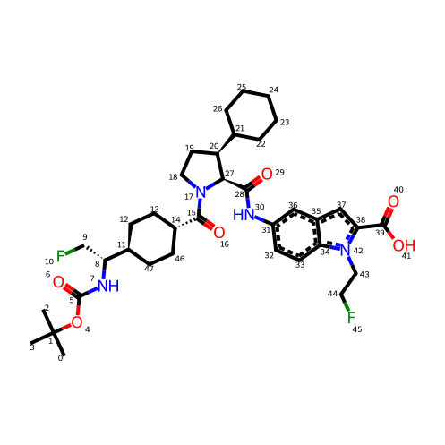 CC(C)(C)OC(=O)N[C@H](CF)[C@H]1CC[C@H](C(=O)N2CC[C@@H](C3CCCCC3)[C@H]2C(=O)Nc2ccc3c(c2)cc(C(=O)O)n3CCF)CC1